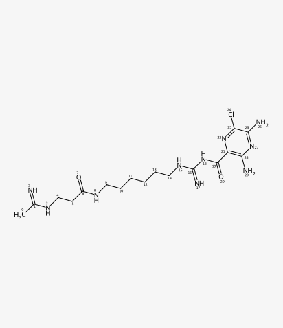 CC(=N)NCCC(=O)NCCCCCCNC(=N)NC(=O)c1nc(Cl)c(N)nc1N